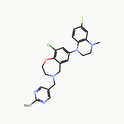 COc1ncc(CN2CCOc3c(Cl)cc(N4CCN(C)c5cc(F)ccc54)cc3C2)cn1